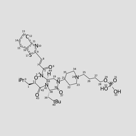 CC(C)C[C@H]1ON(C(=O)/C=C/c2nc3ccccc3s2)[C@H]2CN(C3CCN(CCCCOP(=O)(O)O)CC3)C(=O)[C@H](CC(C)(C)C)N2C1=O